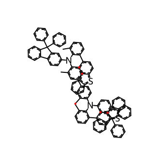 Cc1cc(-c2ccc(N(c3ccc4c(c3)C(c3ccccc3)(c3ccccc3)c3ccccc3-4)c3c(C)cccc3-c3ccc4sc5ccccc5c4c3)c(C)c2)ccc1N(c1ccc2c(c1)C(c1ccccc1)(c1ccccc1)c1ccccc1-2)c1c(C)cccc1-c1ccc2sc3ccccc3c2c1